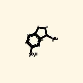 CCCCC1SCc2ccc(S(=O)(=O)O)cc21